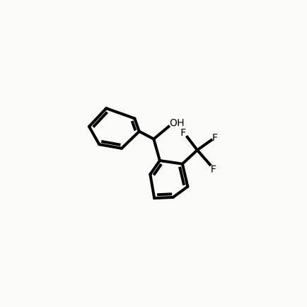 OC(c1ccccc1)c1ccccc1C(F)(F)F